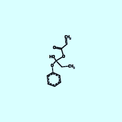 C=CC(=O)OC(O)(CC)Oc1ccccc1